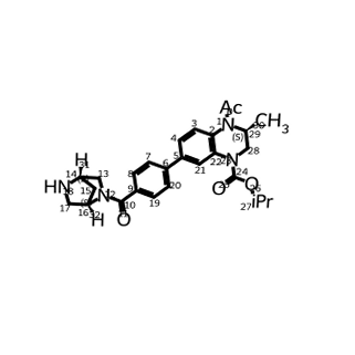 CC(=O)N1c2ccc(-c3ccc(C(=O)N4C[C@@H]5C[C@H]4CN5)cc3)cc2N(C(=O)OC(C)C)C[C@@H]1C